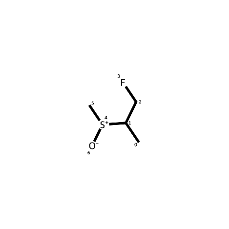 CC(CF)[S+](C)[O-]